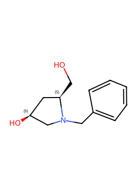 OC[C@@H]1C[C@H](O)CN1Cc1ccccc1